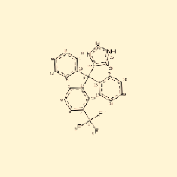 FC(F)(F)c1cccc(C(c2ccccc2)(c2ccccc2)c2nc[nH]n2)c1